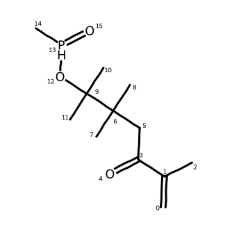 C=C(C)C(=O)CC(C)(C)C(C)(C)O[PH](C)=O